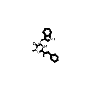 COC(=O)[C@H](Cc1c[nH]c2ccccc12)NC(=O)C(C)=Cc1ccccc1